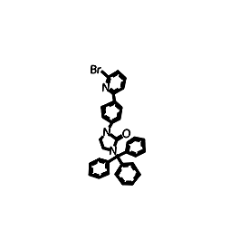 O=C1N(c2ccc(-c3cccc(Br)n3)cc2)CCN1C(c1ccccc1)(c1ccccc1)c1ccccc1